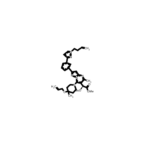 C=CCCn1ccc(-c2cccc(-c3cc4nc(C)c([C@H](OCC(C)C)C(=O)OC)c(N5CCC(C)(OCC=C)CC5)n4n3)c2)n1